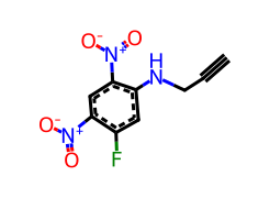 C#CCNc1cc(F)c([N+](=O)[O-])cc1[N+](=O)[O-]